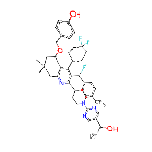 CC(C)C(O)c1cnc(N2CCC(c3nc4c(c(C5CCC(F)(F)CC5)c3C(F)c3ccc(C(F)(F)F)cc3)C(OCc3ccc(O)cc3)CC(C)(C)C4)CC2)nc1